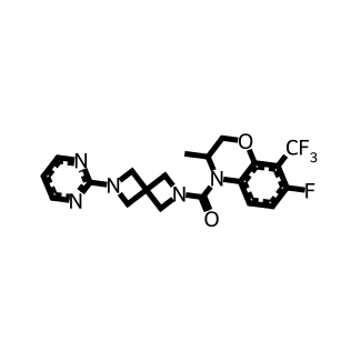 CC1COc2c(ccc(F)c2C(F)(F)F)N1C(=O)N1CC2(C1)CN(c1ncccn1)C2